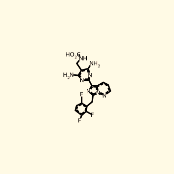 Nc1nc(-c2nc(Cc3c(F)ccc(F)c3F)n3ncccc23)nc(N)c1CNC(=O)O